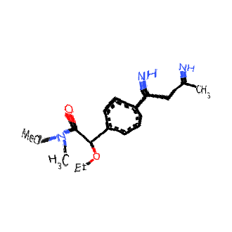 CCOC(C(=O)N(C)OC)c1ccc(C(=N)CC(C)=N)cc1